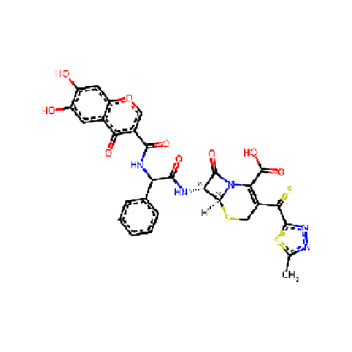 Cc1nnc(C(=S)C2=C(C(=O)O)N3C(=O)[C@@H](NC(=O)C(NC(=O)c4coc5cc(O)c(O)cc5c4=O)c4ccccc4)[C@@H]3SC2)s1